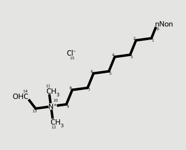 CCCCCCCCCCCCCCCCCC[N+](C)(C)CC=O.[Cl-]